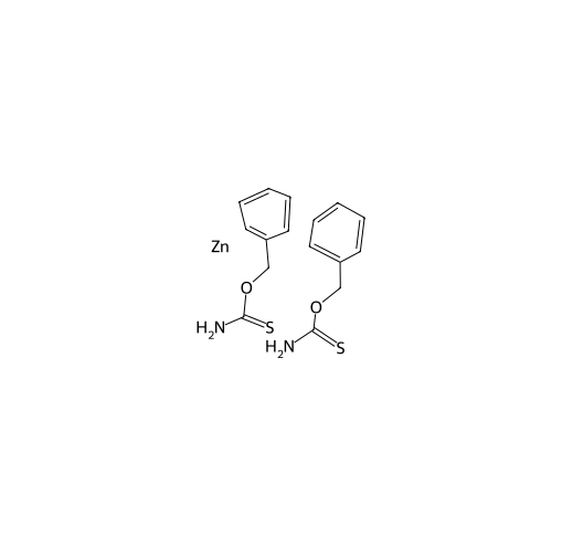 NC(=S)OCc1ccccc1.NC(=S)OCc1ccccc1.[Zn]